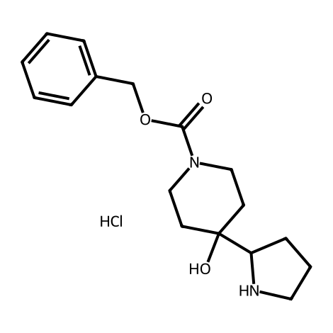 Cl.O=C(OCc1ccccc1)N1CCC(O)(C2CCCN2)CC1